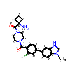 CN1CNc2cc(-c3ccc(C(=O)N4CCN(C(=O)C5(N)CCC5)CC4)c(F)c3)ccc21